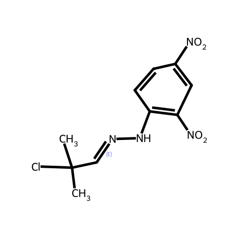 CC(C)(Cl)/C=N/Nc1ccc([N+](=O)[O-])cc1[N+](=O)[O-]